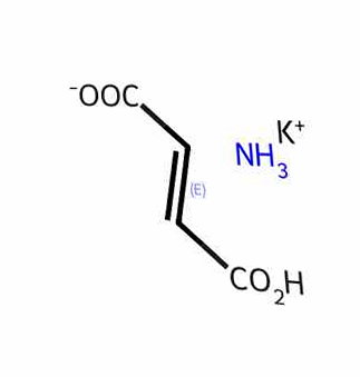 N.O=C([O-])/C=C/C(=O)O.[K+]